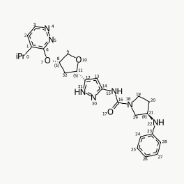 CC(C)c1ccnnc1O[C@@H]1CO[C@H](c2cc(NC(=O)N3CC[C@@H](Nc4ccccc4)C3)n[nH]2)C1